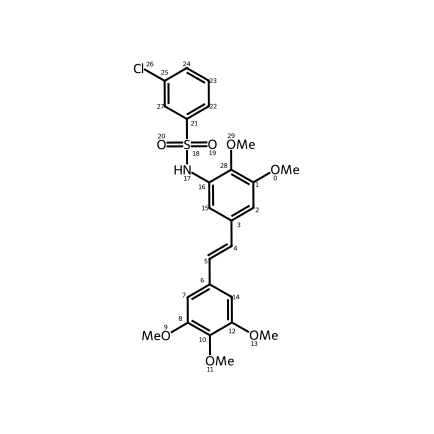 COc1cc(C=Cc2cc(OC)c(OC)c(OC)c2)cc(NS(=O)(=O)c2cccc(Cl)c2)c1OC